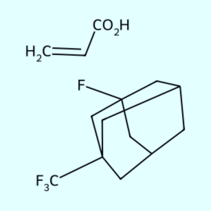 C=CC(=O)O.FC12CC3CC(C1)CC(C(F)(F)F)(C3)C2